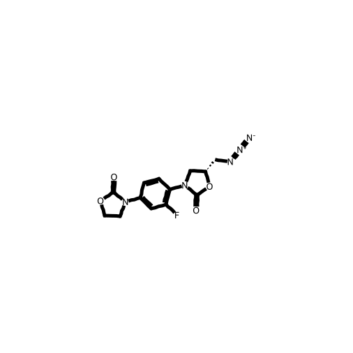 [N-]=[N+]=NC[C@H]1CN(c2ccc(N3CCOC3=O)cc2F)C(=O)O1